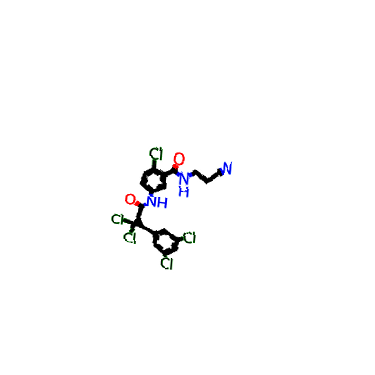 N#CCCNC(=O)c1cc(NC(=O)C2C(c3cc(Cl)cc(Cl)c3)C2(Cl)Cl)ccc1Cl